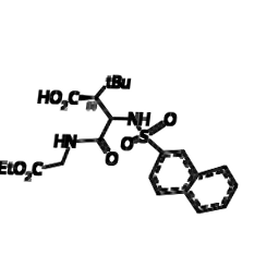 CCOC(=O)CNC(=O)C(NS(=O)(=O)c1ccc2ccccc2c1)[C@@H](C(=O)O)C(C)(C)C